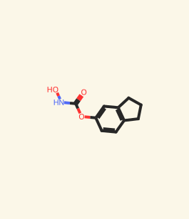 O=C(NO)Oc1ccc2c(c1)CCC2